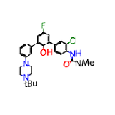 CNC(=O)Nc1ccc(-c2cc(F)cc(-c3cccc(N4CCN(C(C)(C)C)CC4)c3)c2O)cc1Cl